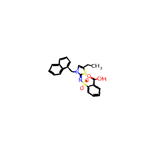 CCc1cn(Cc2cccc3ccccc23)c(=NS(=O)(=O)c2ccccc2C(=O)O)s1